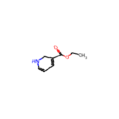 CCOC(=O)C1=CC=CNC1